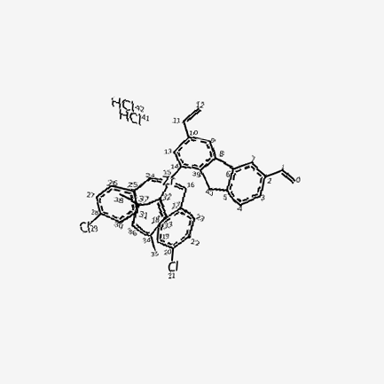 C=Cc1ccc2c(c1)-c1cc(C=C)c[c]([Zr](=[CH]c3ccc(Cl)cc3)(=[CH]c3ccc(Cl)cc3)[C]3=CC(C)=CC3C)c1C2.Cl.Cl